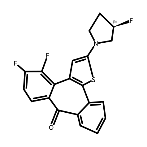 O=c1c2ccccc2c2sc(N3CC[C@@H](F)C3)cc2c2c(F)c(F)ccc12